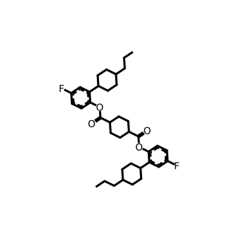 CCCC1CCC(c2cc(F)ccc2OC(=O)C2CCC(C(=O)Oc3ccc(F)cc3C3CCC(CCC)CC3)CC2)CC1